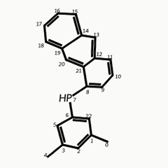 Cc1cc(C)cc(Pc2cccc3cc4ccccc4cc23)c1